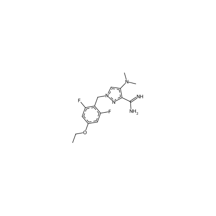 CCOc1cc(F)c(Cn2cc(N(C)C)c(C(=N)N)n2)c(F)c1